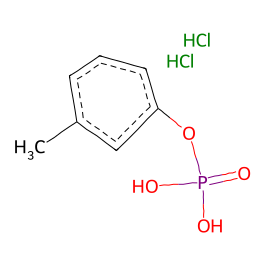 Cc1cccc(OP(=O)(O)O)c1.Cl.Cl